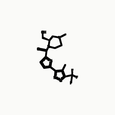 Cc1c(-c2ccc(C(=O)N3CCN(C)C[C@@H]3CO)s2)noc1C(F)(F)F